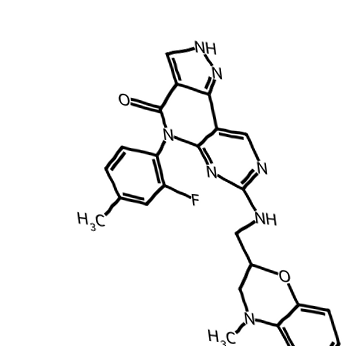 Cc1ccc(-n2c(=O)c3c[nH]nc3c3cnc(NCC4CN(C)c5ccccc5O4)nc32)c(F)c1